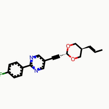 CC=C[C@H]1CO[C@H](C#Cc2cnc(-c3ccc(F)cc3)nc2)OC1